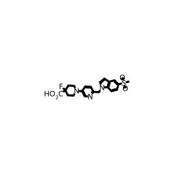 CS(=O)(=O)c1ccc2c(ccn2Cc2ccc(N3CCC(F)(C(=O)O)CC3)cn2)c1